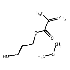 C=C(C)C(=O)OCCCO.COC